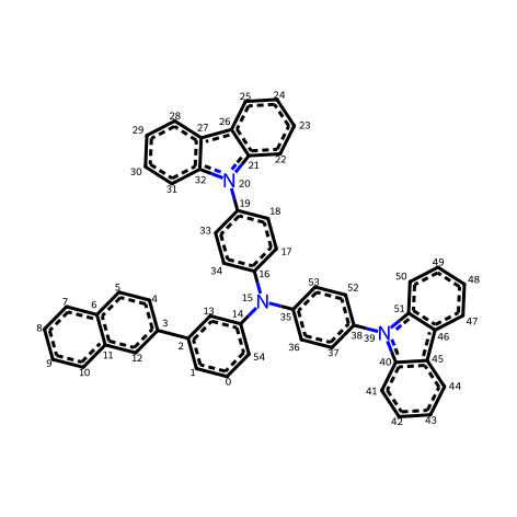 c1cc(-c2ccc3ccccc3c2)cc(N(c2ccc(-n3c4ccccc4c4ccccc43)cc2)c2ccc(-n3c4ccccc4c4ccccc43)cc2)c1